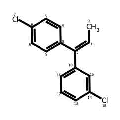 C/C=C(\c1ccc(Cl)cc1)c1cccc(Cl)c1